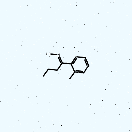 CCC/C(=N\O)c1ccccc1C